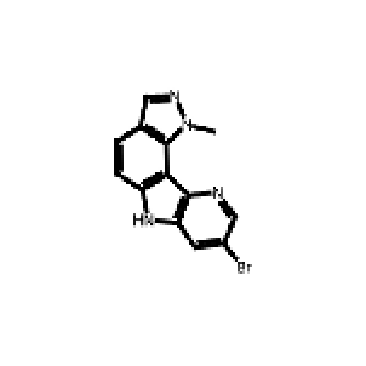 Cn1ncc2ccc3[nH]c4cc(Br)cnc4c3c21